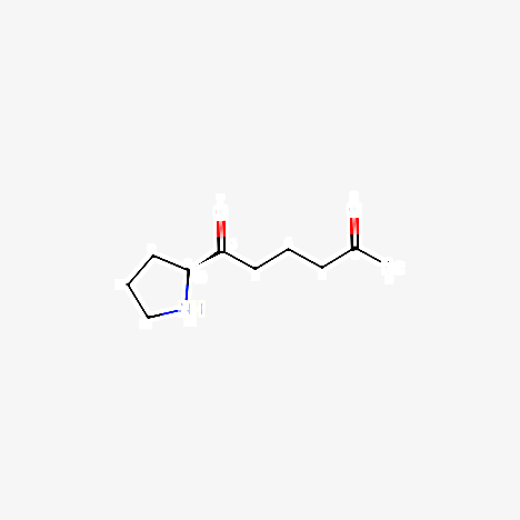 CC(=O)C(=O)CCCC(=O)[C@@H]1CCCN1